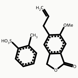 C=CCc1cc2c(cc1OC)C(=O)OC2.Cc1ccccc1S(=O)(=O)O